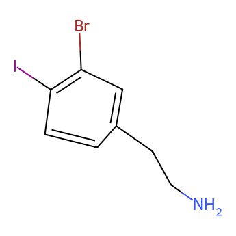 NCCc1ccc(I)c(Br)c1